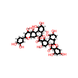 O=c1cc(-c2ccc(O)c(O)c2-c2c(O)cc(O)c3c(=O)cc(-c4ccc(O)c(O)c4-c4c(O)cc5oc(-c6ccc(O)c(O)c6)cc(=O)c5c4O)oc23)oc2cc(O)cc(O)c12